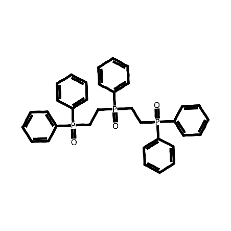 O=P(CCP(=O)(c1ccccc1)c1ccccc1)(CCP(=O)(c1ccccc1)c1ccccc1)c1ccccc1